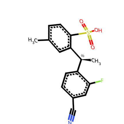 Cc1ccc(S(=O)(=O)O)c([C@@H](C)c2ccc(C#N)cc2F)c1